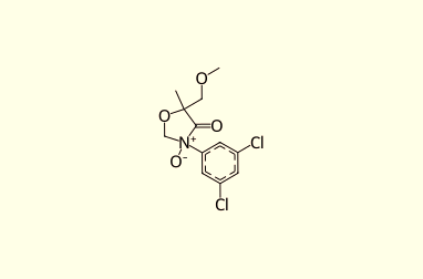 COCC1(C)OC[N+]([O-])(c2cc(Cl)cc(Cl)c2)C1=O